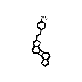 Nc1ccc(CCc2cc3ccc4c(c3s2)-c2ccc3ccsc3c2-4)cc1